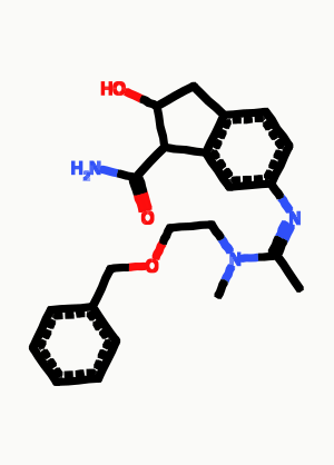 CC(=Nc1ccc2c(c1)C(C(N)=O)C(O)C2)N(C)CCOCc1ccccc1